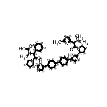 Cc1nc(C(C(=O)N2CCC[C@H]2c2ncc(-c3ccc(-c4ccc(-c5cnc([C@@H]6CCCN6C(=O)[C@@H](c6ccccc6)N(C)C(=O)O)[nH]5)cc4)cc3)[nH]2)N(C)C)cs1